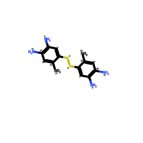 Nc1cc(SSc2cc(N)c(N)cc2[N+](=O)[O-])c([N+](=O)[O-])cc1N